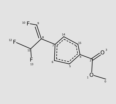 COC(=O)c1ccc(C(=CF)C(F)F)cc1